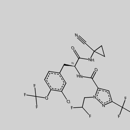 N#CC1(NC(=O)[C@H](Cc2ccc(OC(F)(F)F)c(Cl)c2)NC(=O)c2cc(C(F)(F)F)nn2CC(F)F)CC1